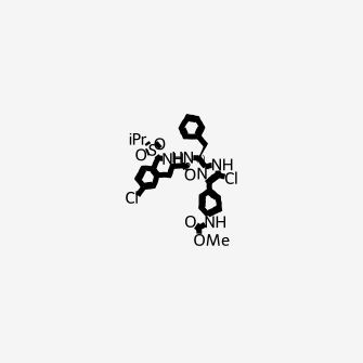 COC(=O)Nc1ccc(-c2nc([C@H](Cc3ccccc3)NC(=O)CCc3cc(Cl)ccc3C(N)S(=O)(=O)C(C)C)[nH]c2Cl)cc1